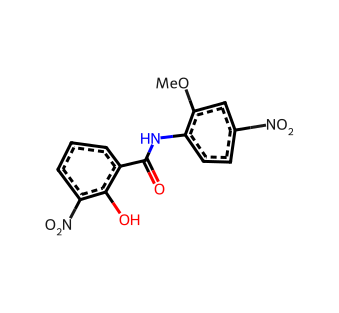 COc1cc([N+](=O)[O-])ccc1NC(=O)c1cccc([N+](=O)[O-])c1O